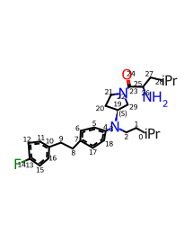 CC(C)CCN(c1ccc(CCc2ccc(F)cc2)cc1)[C@H]1CCN(C(=O)C(N)CC(C)C)C1